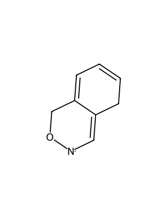 C1=CCC2=C[N]OCC2=C1